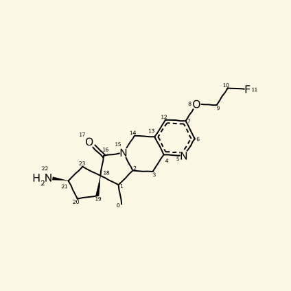 CC1C2Cc3ncc(OCCF)cc3CN2C(=O)[C@]12CC[C@@H](N)C2